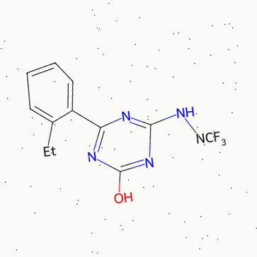 CCc1ccccc1-c1nc(O)nc(NNC(F)(F)F)n1